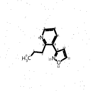 CCCc1n[c]ccc1-c1ccon1